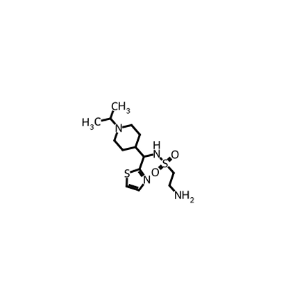 CC(C)N1CCC(C(NS(=O)(=O)CCN)c2nccs2)CC1